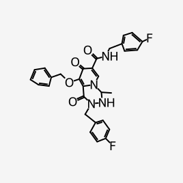 CC1NN(Cc2ccc(F)cc2)C(=O)c2c(OCc3ccccc3)c(=O)c(C(=O)NCc3ccc(F)cc3)cn21